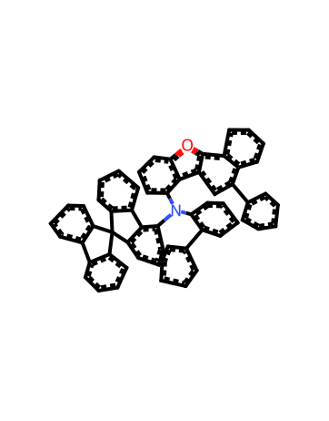 c1ccc(-c2ccccc2N(c2cccc3c2-c2ccccc2C32c3ccccc3-c3ccccc32)c2cccc3oc4c5ccccc5c(-c5ccccc5)cc4c23)cc1